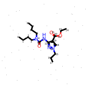 CCCCN(CCCC)C(=O)Nc1nn(CCC)cc1C(=O)OCC